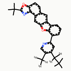 [2H]C([2H])([2H])c1cnc(-c2cccc3c2oc2cc4c(ccc5oc(C(C)(C)C)nc54)cc23)cc1C([2H])([2H])C(C)(C)C